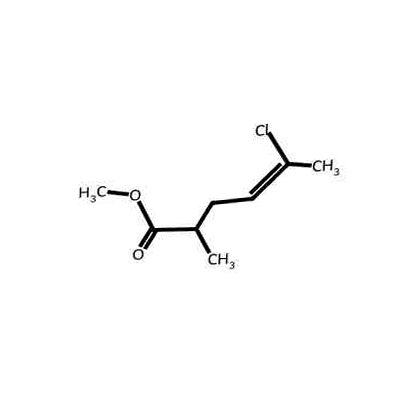 COC(=O)C(C)CC=C(C)Cl